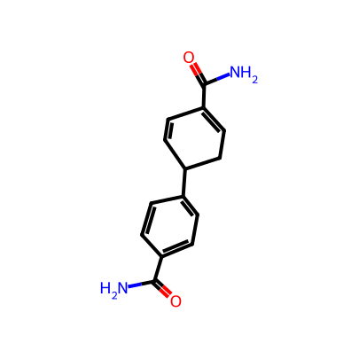 NC(=O)C1=CCC(c2ccc(C(N)=O)cc2)C=C1